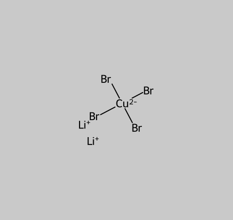 [Br][Cu-2]([Br])([Br])[Br].[Li+].[Li+]